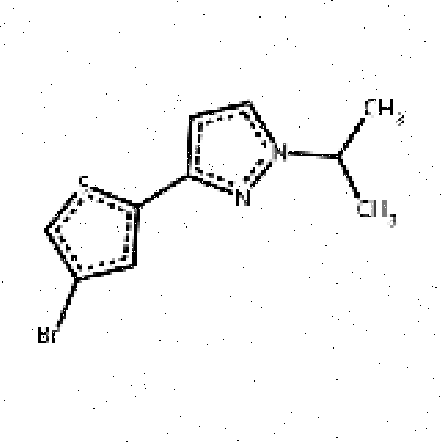 CC(C)n1ccc(-c2cc(Br)cs2)n1